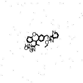 CCOc1nc2cccnc2n1Cc1ccc2c(c1)COc1ccccc1/C2=C(/C)c1noc(=O)[nH]1